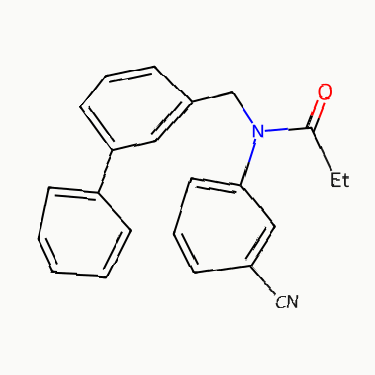 CCC(=O)N(Cc1cccc(-c2ccccc2)c1)c1cccc(C#N)c1